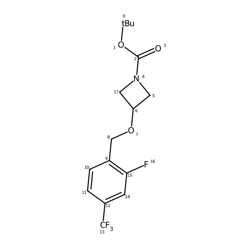 CC(C)(C)OC(=O)N1CC(OCc2ccc(C(F)(F)F)cc2F)C1